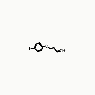 [CH]=CCCOc1ccc(F)cc1